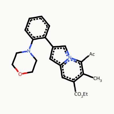 CCOC(=O)c1cc2cc(-c3ccccc3N3CCOCC3)cn2c(C(C)=O)c1C